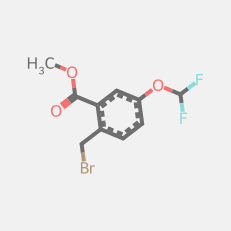 COC(=O)c1cc(OC(F)F)ccc1CBr